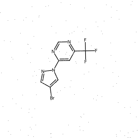 FC(F)(F)c1cc(-n2cc(Br)cn2)ncn1